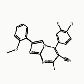 COc1ccccc1-c1cn2c(-c3ccc(Cl)c(F)c3)c(C#N)c(C)nc2n1